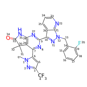 Cn1nc(C(F)(F)F)cc1-c1nc(-c2nn(Cc3ccccc3F)c3ncccc23)nc2c1C(C)(C)C(=O)N2